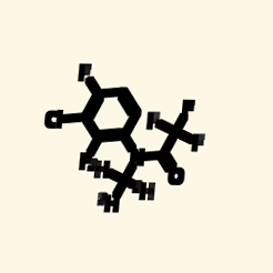 [2H]C([2H])([2H])N(C(=O)C(F)(F)F)c1ccc(F)c(Cl)c1F